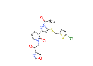 CC(C)(C)C(=O)n1nc(-c2cccn(CC(=O)c3cocn3)c2=O)cc1SCc1ccc(Cl)s1